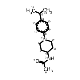 CC(=O)NC1CCN(c2ccc(C(C)C)cc2)CC1